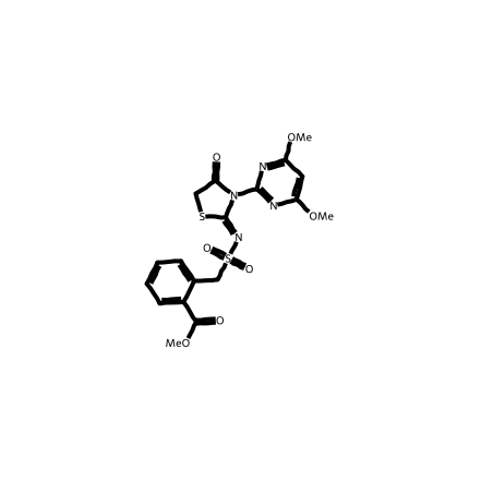 COC(=O)c1ccccc1CS(=O)(=O)N=C1SCC(=O)N1c1nc(OC)cc(OC)n1